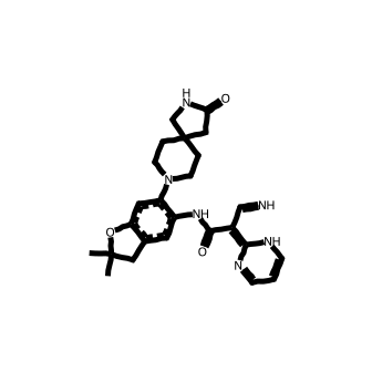 CC1(C)Cc2cc(NC(=O)/C(C=N)=C3\N=CC=CN3)c(N3CCC4(CC3)CNC(=O)C4)cc2O1